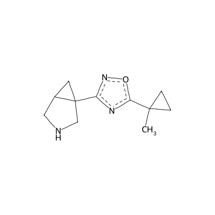 CC1(c2nc(C34CNCC3C4)no2)CC1